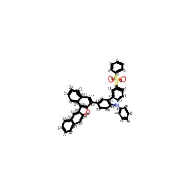 O=S(=O)(c1ccccc1)c1ccc2c(c1)c1cc(-c3cc4ccccc4c4c3oc3cc5ccccc5cc34)ccc1n2-c1ccccc1